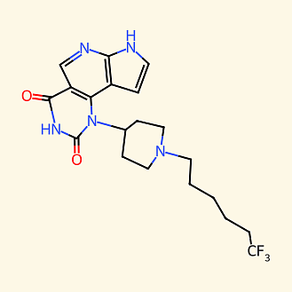 O=c1[nH]c(=O)n(C2CCN(CCCCCC(F)(F)F)CC2)c2c1cnc1[nH]ccc12